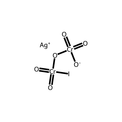 [Ag+].[O]=[Cr](=[O])([O-])[O][Cr](=[O])(=[O])[I]